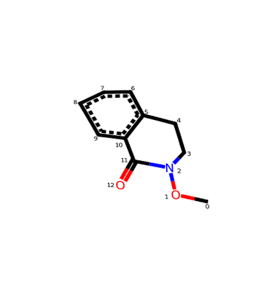 CON1CCc2ccccc2C1=O